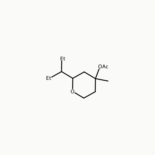 CCC(CC)C1CC(C)(OC(C)=O)CCO1